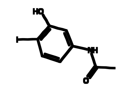 CC(=O)Nc1ccc(I)c(O)c1